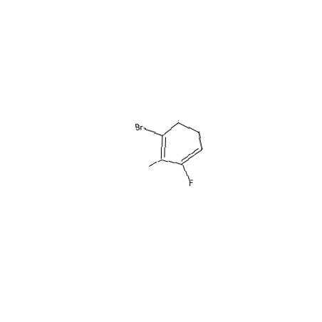 CC1=C(Br)[CH]CC=C1F